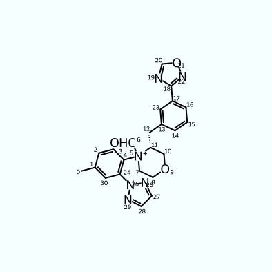 Cc1ccc([N+]2(C=O)CCOC[C@H]2Cc2cccc(-c3ncon3)c2)c(-n2nccn2)c1